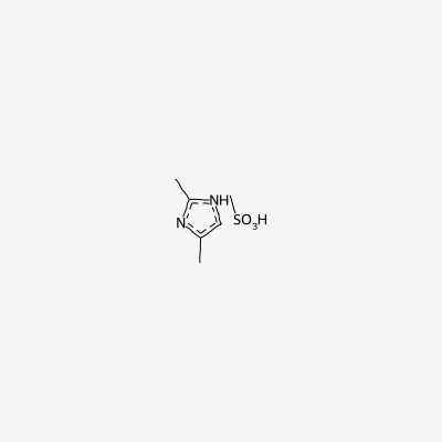 CS(=O)(=O)O.Cc1c[nH]c(C)n1